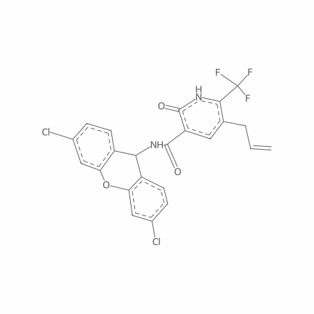 C=CCc1cc(C(=O)NC2c3ccc(Cl)cc3Oc3cc(Cl)ccc32)c(=O)[nH]c1C(F)(F)F